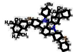 CC(C)(C)c1ccc(Nc2cc3sc4cc5c(cc4c3cc2-c2ccc3c4cc6c(cc4n4c3c2Bc2cc3c(cc2-4)-c2ccccc2C3(C)C)sc2ccccc26)C(C)(C)CCC5(C)C)cc1